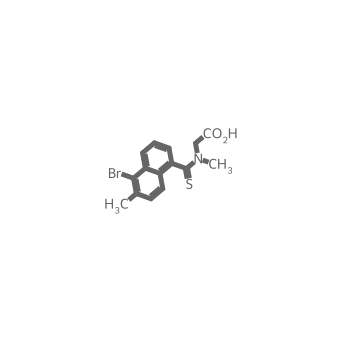 Cc1ccc2c(C(=S)N(C)CC(=O)O)cccc2c1Br